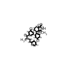 C[C@H]1NC(=O)[C@]2(C)CC[C@@H](c3ccc(C(=O)N(C)CCc4ccccn4)cc3Cl)[C@H](c3ccc(Cl)cc3)[C@H]12